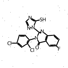 O=c1c2cc(F)ccc2nc(-n2ncnc2S)n1-c1ccc(Cl)cc1Cl